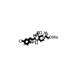 COCC(=O)N1CC[C@H](NC(=O)c2cc3cc(Cl)ccc3[nH]2)[C@H](NC(=O)O)C1